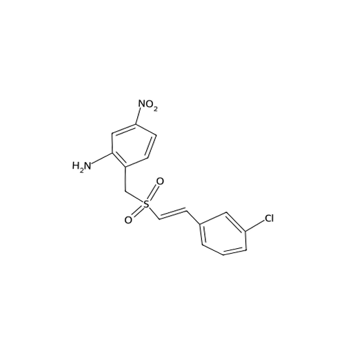 Nc1cc([N+](=O)[O-])ccc1CS(=O)(=O)C=Cc1cccc(Cl)c1